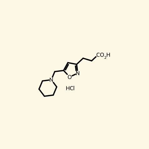 Cl.O=C(O)CCc1cc(CN2CCCCC2)on1